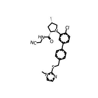 C[C@H]1C[C@@H](C(=O)NCC#N)N(c2cc(-c3ccc(CSc4nccn4C)cc3)ccc2Cl)C1